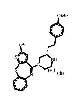 CCCc1cc2c(s1)Sc1ccccc1N=C2N1CCN[C@@H](CCc2ccc(OC)cc2)C1.Cl.Cl